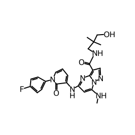 CNc1cc(Nc2cccn(-c3ccc(F)cc3)c2=O)nc2c(C(=O)NCC(C)(C)CO)cnn12